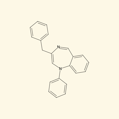 C1=NC(Cc2ccccc2)=CN(c2ccccc2)c2ccccc21